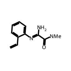 C=Cc1ccccc1/N=C(\N)C(=O)NC